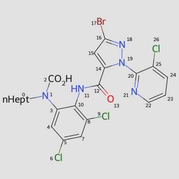 CCCCCCCN(C(=O)O)c1cc(Cl)cc(Cl)c1NC(=O)c1cc(Br)nn1-c1ncccc1Cl